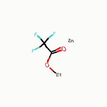 CCOC(=O)C(F)(F)F.[Zn]